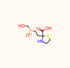 O=C(O)C1(CC[PH](=O)CO)NCCS1